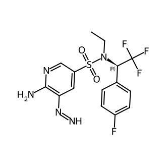 CCN([C@H](c1ccc(F)cc1)C(F)(F)F)S(=O)(=O)c1cnc(N)c(N=N)c1